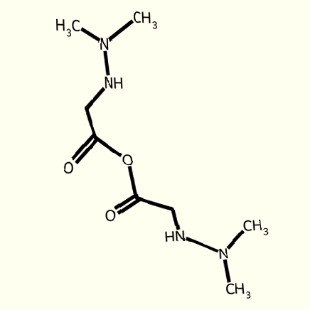 CN(C)NCC(=O)OC(=O)CNN(C)C